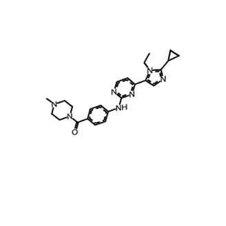 CCn1c(-c2ccnc(Nc3ccc(C(=O)N4CCN(C)CC4)cc3)n2)cnc1C1CC1